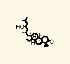 CC(C)=C[C@@H](O)C[C@@H](C)[C@H]1CC[C@H]2[C@@H]3CC=C4C5(CC5)C(=O)CC[C@]4(C)[C@H]3CC[C@]12C